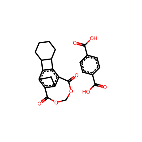 O=C(O)c1ccc(C(=O)O)cc1.O=C1OCOC(=O)c2c3c1c(c1c2C2CCCCC12)C3